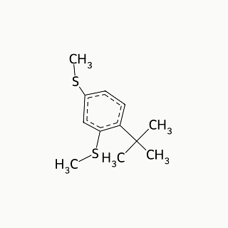 CSc1ccc(C(C)(C)C)c(SC)c1